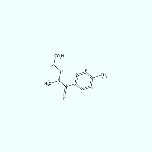 Cc1ccc(C(=O)N(C)CCC(=O)O)cc1